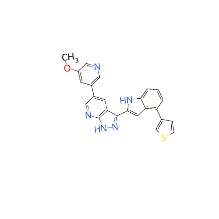 COc1cncc(-c2cnc3[nH]nc(-c4cc5c(-c6ccsc6)cccc5[nH]4)c3c2)c1